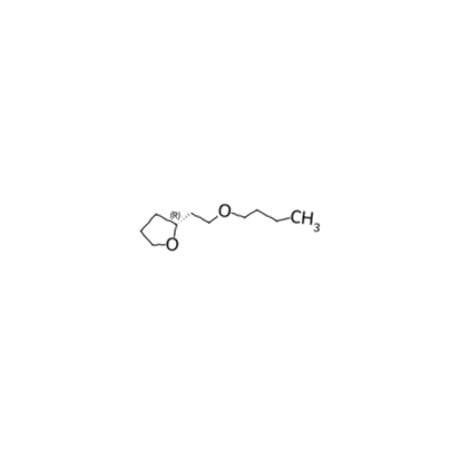 CCCCOCC[C@H]1CCCO1